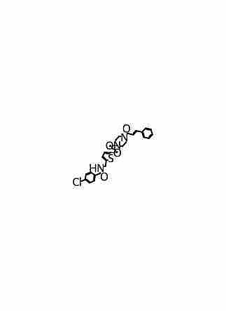 O=C(NCc1ccc(S(=O)(=O)N2CCN(C(=O)/C=C/c3ccccc3)CC2)s1)c1ccc(Cl)cc1